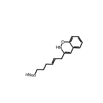 CCCCCCCCCCCCC=CCC1=Cc2ccccc2ON1